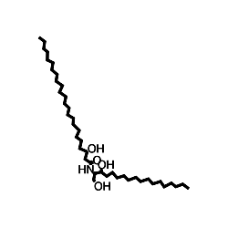 CCCCCCCCCCCCCCCCCCCCCC(O)CC(=O)NC(CO)C(O)CCCCCCCCCCCCCCC